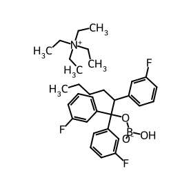 CCCCC(c1cccc(F)c1)C(OB([O-])O)(c1cccc(F)c1)c1cccc(F)c1.CC[N+](CC)(CC)CC